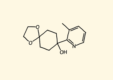 Cc1cccnc1C1(O)CCC2(CC1)OCCO2